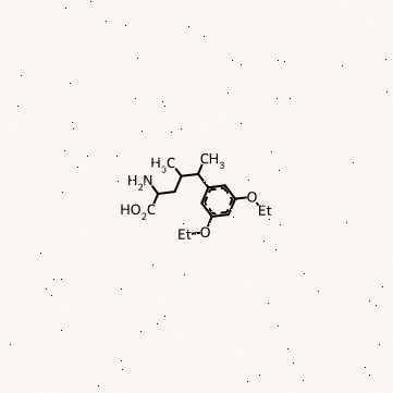 CCOc1cc(OCC)cc(C(C)C(C)CC(N)C(=O)O)c1